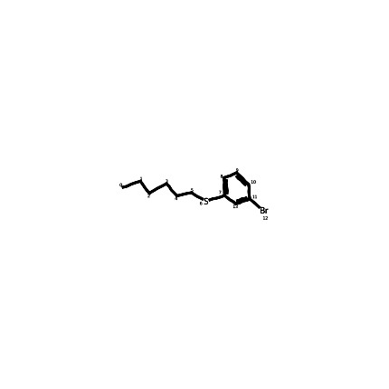 CCCCCCSc1cccc(Br)c1